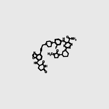 CN1CCN(C2CCCN(c3nnc(C(N)=O)c(Nc4ccc(N5CCN(CC#Cc6ccc(NC7CCC(=O)NC7=O)c7ocnc67)CC5)c(F)c4)n3)C2)C1=O